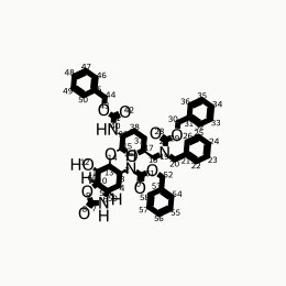 O=C(N[C@H]1C[C@H]2NC(=O)O[C@@H]2[C@@H](O)[C@@H]1O[C@H]1O[C@H](CN(Cc2ccccc2)C(=O)OCc2ccccc2)CC[C@H]1NC(=O)OCc1ccccc1)OCc1ccccc1